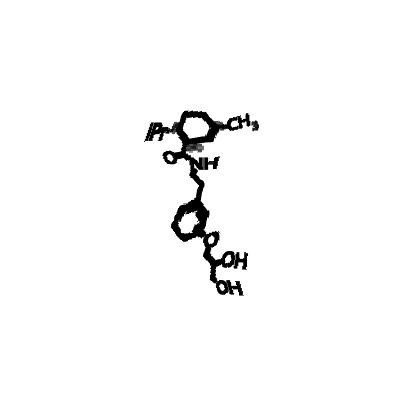 CC(C)[C@@H]1CC[C@@H](C)C[C@H]1C(=O)NCCc1cccc(OCC(O)CO)c1